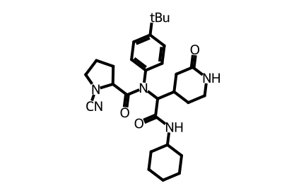 CC(C)(C)c1ccc(N(C(=O)C2CCCN2C#N)C(C(=O)NC2CCCCC2)C2CCNC(=O)C2)cc1